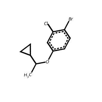 CC(Oc1ccc(Br)c(Cl)c1)C1CC1